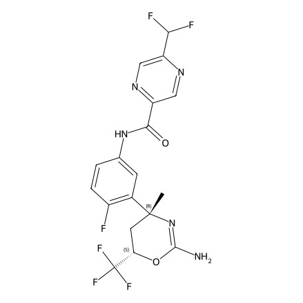 C[C@]1(c2cc(NC(=O)c3cnc(C(F)F)cn3)ccc2F)C[C@@H](C(F)(F)F)OC(N)=N1